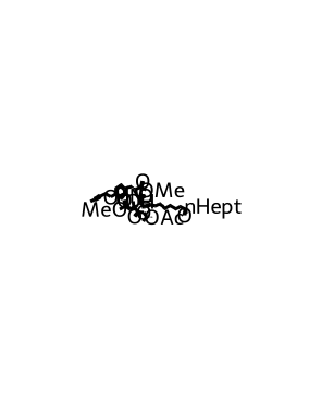 CC#CCOc1ccc(C[C@H](NC(=O)[C@@H](/C=C/CCCCCCC(=O)CCCCCCC)C(O)(CC(=O)OC)C(=O)O[C@@H](C)OC(C)=O)C(=O)OC)cc1